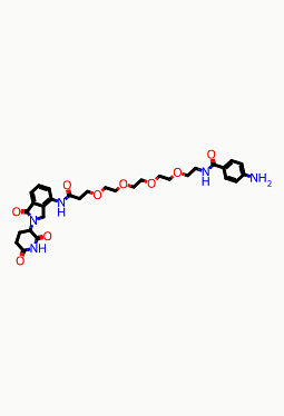 Nc1ccc(C(=O)NCCOCCOCCOCCOCCC(=O)Nc2cccc3c2CN(C2CCC(=O)NC2=O)C3=O)cc1